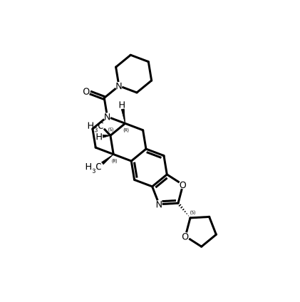 C[C@@H]1[C@H]2Cc3cc4oc([C@@H]5CCCO5)nc4cc3[C@]1(C)CCN2C(=O)N1CCCCC1